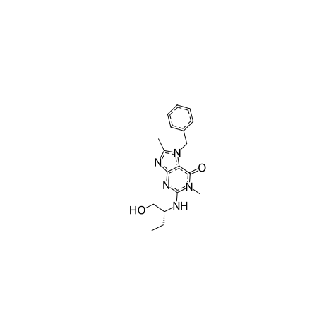 CC[C@H](CO)Nc1nc2nc(C)n(Cc3ccccc3)c2c(=O)n1C